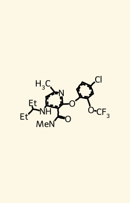 CCC(CC)Nc1cc(C)nc(Oc2ccc(Cl)cc2OC(F)(F)F)c1C(=O)NC